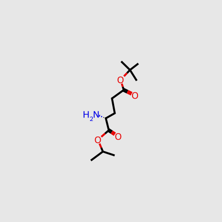 CC(C)OC(=O)[C@H](N)CCC(=O)OC(C)(C)C